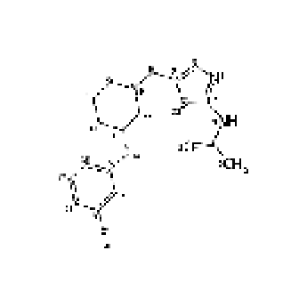 CC(=O)Nc1ncc(CN2CCC[C@@H](Cc3cccc(F)c3)C2)s1